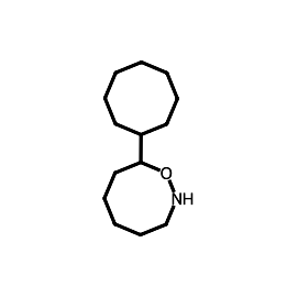 C1CCCC(C2CCCCCNO2)CCC1